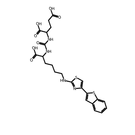 O=C(O)CCC(NC(=O)NC(CCCCNc1nc(-c2cc3ccccc3s2)cs1)C(=O)O)C(=O)O